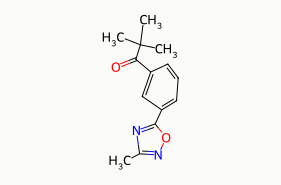 Cc1noc(-c2cccc(C(=O)C(C)(C)C)c2)n1